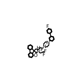 O=C(NCC(F)(F)F)C1(CCCCN2CCN(c3cccc(-c4ccc(F)cc4)c3)CC2)c2ccccc2-c2ccccc21